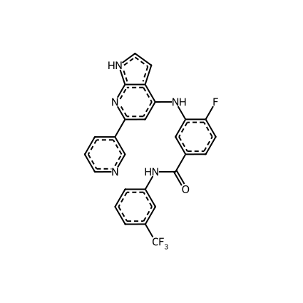 O=C(Nc1cccc(C(F)(F)F)c1)c1ccc(F)c(Nc2cc(-c3cccnc3)nc3[nH]ccc23)c1